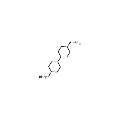 CCCCCCC[C@H]1CC[C@H]([C@H]2CC[C@H](CC(F)(F)F)CC2)CC1